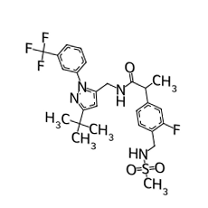 CC(C(=O)NCc1cc(C(C)(C)C)nn1-c1cccc(C(F)(F)F)c1)c1ccc(CNS(C)(=O)=O)c(F)c1